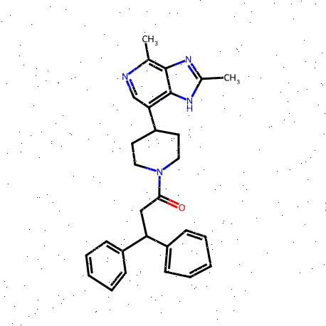 Cc1nc2c(C)ncc(C3CCN(C(=O)CC(c4ccccc4)c4ccccc4)CC3)c2[nH]1